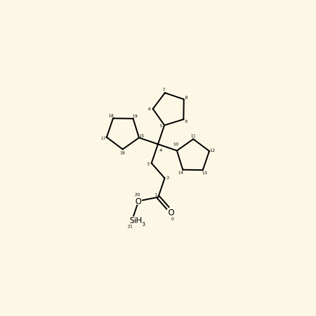 O=C(CCC(C1CCCC1)(C1CCCC1)C1CCCC1)O[SiH3]